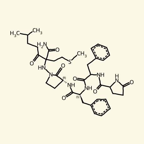 CSCCC(NN1CC[C@@H](NC(=O)[C@H](Cc2ccccc2)NC(=O)C(Cc2ccccc2)NC(=O)C2CCC(=O)N2)C1=O)(C(N)=O)C(=O)CCC(C)C